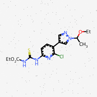 CCOC(=O)NC(=S)Nc1ccc(-c2cnn(C(C)OCC)c2)c(Cl)n1